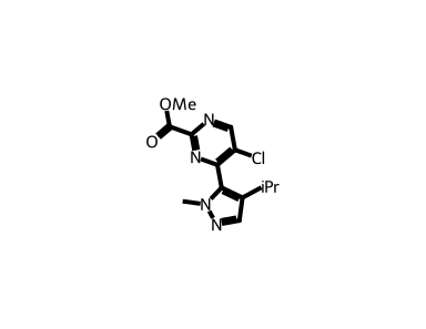 COC(=O)c1ncc(Cl)c(-c2c(C(C)C)cnn2C)n1